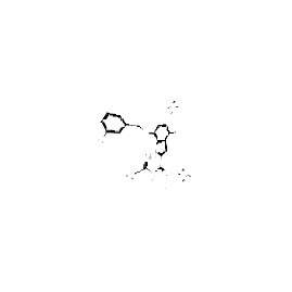 CN(C(=N)N)C(=O)c1cc2c(Cl)ccc(OCc3cccc(N)c3)c2[nH]1.CS(=O)(=O)O.CS(=O)(=O)O